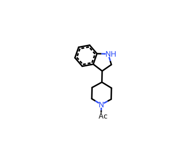 CC(=O)N1CCC(C2CNc3ccccc32)CC1